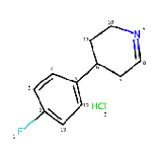 Cl.Fc1ccc(C2CC=NCC2)cc1